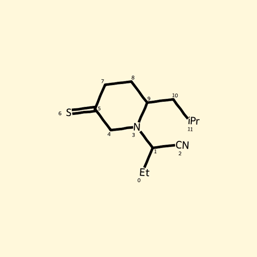 CCC(C#N)N1CC(=S)CCC1CC(C)C